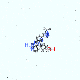 CC(C)n1cc(-c2ccc3nc(-c4cccnc4N)n(-c4ccc(CO)cc4)c3n2)nn1